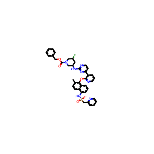 Cc1ccc2c(NS(=O)(=O)Cc3ccccn3)cccc2c1Oc1ncccc1-c1ccnc(NC2CC(F)CN(C(=O)OCc3ccccc3)C2)n1